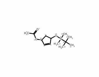 CC(=O)O[C@@H]1C=CC(O[Si](C)(C)C(C)(C)C)C1